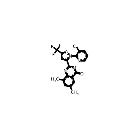 Cc1cc(C)c2nc(-c3cc(C(F)(F)F)nn3-c3ncccc3Cl)oc(=O)c2c1